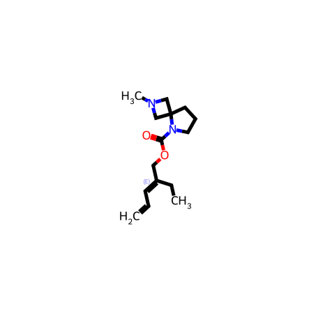 C=C/C=C(\CC)COC(=O)N1CCCC12CN(C)C2